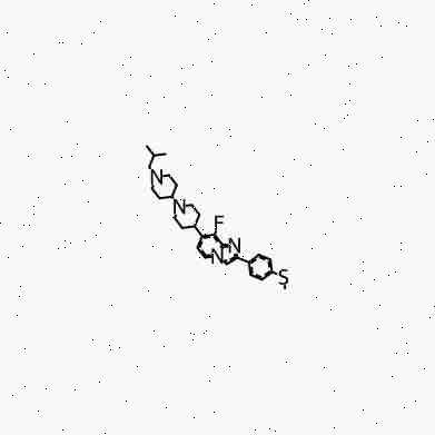 CSc1ccc(-c2cn3ccc(C4CCN(C5CCN(CC(C)C)CC5)CC4)c(F)c3n2)cc1